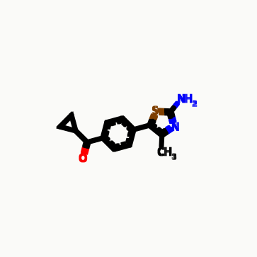 Cc1nc(N)sc1-c1ccc(C(=O)C2CC2)cc1